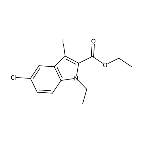 CCOC(=O)c1c(I)c2cc(Cl)ccc2n1CC